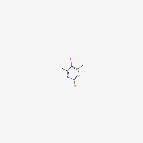 Cc1cc(Br)nc(C)c1I